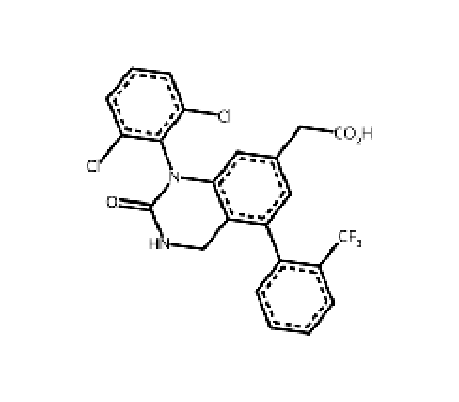 O=C(O)Cc1cc(-c2ccccc2C(F)(F)F)c2c(c1)N(c1c(Cl)cccc1Cl)C(=O)NC2